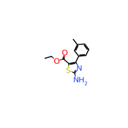 CCOC(=O)c1sc(N)nc1-c1cccc(C)c1